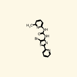 Cc1cccc(NC(=O)Nc2nc(-c3ccccn3)sc2Br)n1